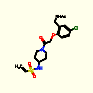 C=CS(=O)(=O)NC1CCN(C(=O)COc2ccc(Cl)cc2CNC(C)=O)CC1